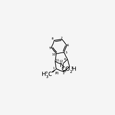 C[C@@H]1CCC2c3ccccc3C1N2C(=O)O